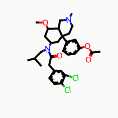 COC1CC(N(CC(C)C)C(=O)Cc2ccc(Cl)c(Cl)c2)CC2(c3cccc(OC(C)=O)c3)CCN(C)CC12